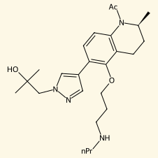 CCCNCCCOc1c(-c2cnn(CC(C)(C)O)c2)ccc2c1CC[C@H](C)N2C(C)=O